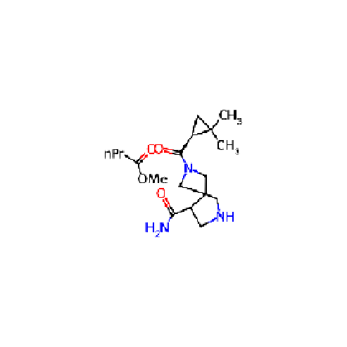 CC1(C)C[C@@H]1C(=O)N1CC2(CNCC2C(N)=O)C1.CCCC(=O)OC